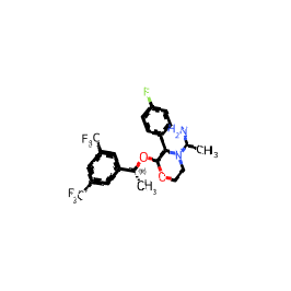 CC(N)N1CCOC(O[C@H](C)c2cc(C(F)(F)F)cc(C(F)(F)F)c2)C1c1ccc(F)cc1